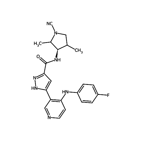 CC1CN(C#N)C(C)[C@@H]1NC(=O)c1cc(-c2cnccc2Nc2ccc(F)cc2)[nH]n1